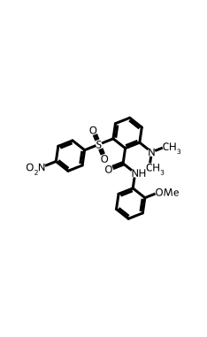 COc1ccccc1NC(=O)c1c(N(C)C)cccc1S(=O)(=O)c1ccc([N+](=O)[O-])cc1